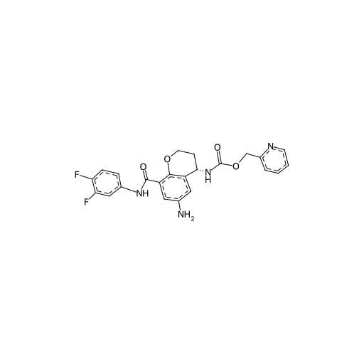 Nc1cc(C(=O)Nc2ccc(F)c(F)c2)c2c(c1)[C@@H](NC(=O)OCc1ccccn1)CCO2